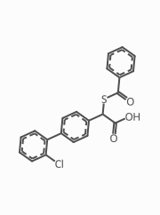 O=C(SC(C(=O)O)c1ccc(-c2ccccc2Cl)cc1)c1ccccc1